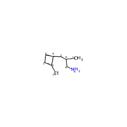 CCC1CCC1CC(C)CN